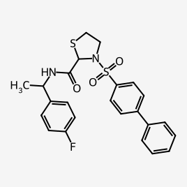 CC(NC(=O)C1SCCN1S(=O)(=O)c1ccc(-c2ccccc2)cc1)c1ccc(F)cc1